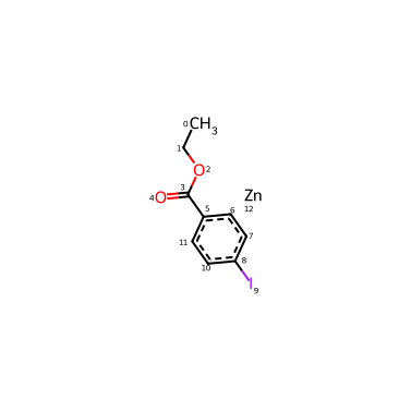 CCOC(=O)c1ccc(I)cc1.[Zn]